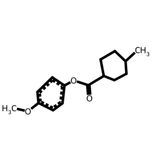 COc1ccc(OC(=O)C2CCC(C)CC2)cc1